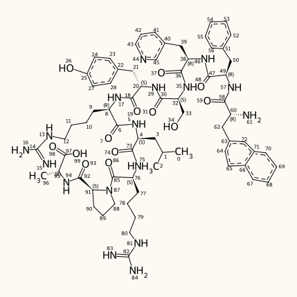 CC(C)C[C@H](NC(=O)[C@@H](CCCCNC(=N)N)NC(=O)[C@H](Cc1ccc(O)cc1)NC(=O)[C@H](CO)NC(=O)[C@@H](Cc1cccnc1)NC(=O)[C@@H](Cc1ccccc1)NC(=O)[C@H](N)Cc1ccc2ccccc2c1)C(=O)N[C@@H](CCCCNC(=N)N)C(=O)N1CCC[C@H]1C(=O)N[C@H](C)C(=O)O